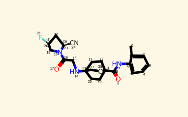 Cc1ccccc1NC(=O)C12CCC(NCC(=O)N3C[C@@H](F)C[C@H]3C#N)(CC1)CC2